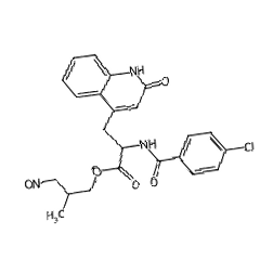 CC(CN=O)COC(=O)C(Cc1cc(=O)[nH]c2ccccc12)NC(=O)c1ccc(Cl)cc1